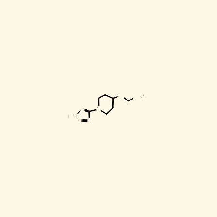 COCOC1CCN(c2nn[nH]n2)CC1